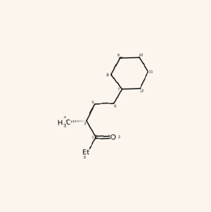 CCC(=O)[C@H](C)CCC1CCCCC1